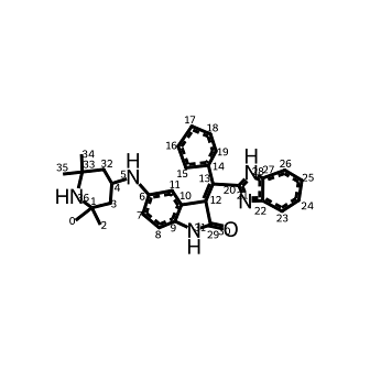 CC1(C)CC(Nc2ccc3c(c2)C(=C(c2ccccc2)c2nc4ccccc4[nH]2)C(=O)N3)CC(C)(C)N1